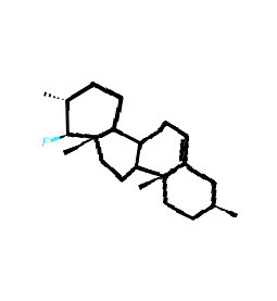 C[C@H]1CC[C@@]2(C)C(=CCC3C2CC[C@@]2(C)C3CC[C@@H](C)[C@@H]2F)C1